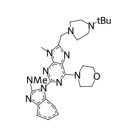 CNc1nc2ccccc2n1-c1nc(N2CCOCC2)c2nc(CN3CCN(C(C)(C)C)CC3)n(C)c2n1